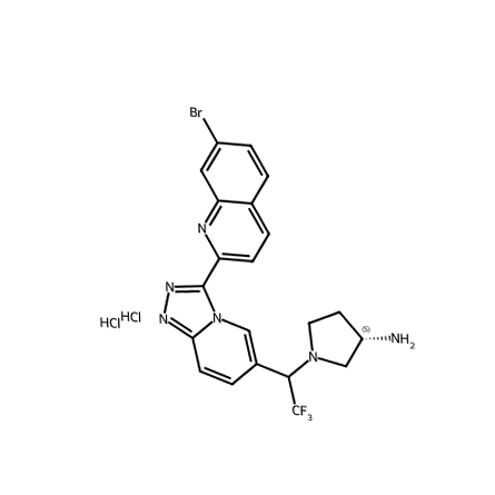 Cl.Cl.N[C@H]1CCN(C(c2ccc3nnc(-c4ccc5ccc(Br)cc5n4)n3c2)C(F)(F)F)C1